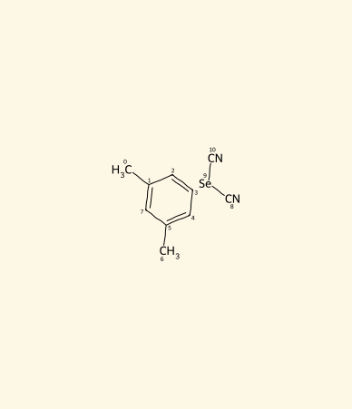 Cc1cccc(C)c1.N#C[Se]C#N